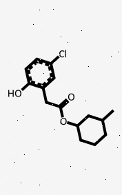 CC1CCCC(OC(=O)Cc2cc(Cl)ccc2O)C1